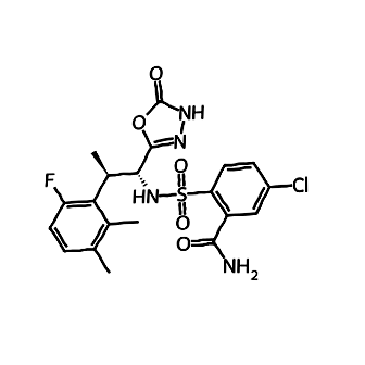 Cc1ccc(F)c([C@@H](C)[C@@H](NS(=O)(=O)c2ccc(Cl)cc2C(N)=O)c2n[nH]c(=O)o2)c1C